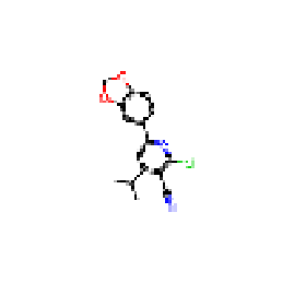 CC(C)c1cc(-c2ccc3c(c2)OCO3)nc(Cl)c1C#N